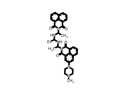 CCC(NC(C)N1C(=O)c2cccc3cccc(c23)C1=O)NC(C)N1C(=O)c2cccc3cc(N4CCN(C)CC4)cc(c23)C1=O